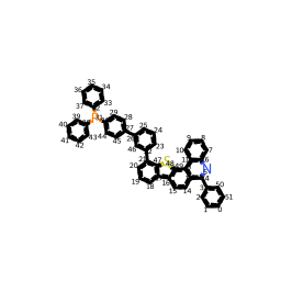 c1ccc(-c2nc3ccccc3c3c2ccc2c4cccc(-c5cccc(-c6ccc(P(c7ccccc7)c7ccccc7)cc6)c5)c4sc23)cc1